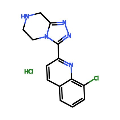 Cl.Clc1cccc2ccc(-c3nnc4n3CCNC4)nc12